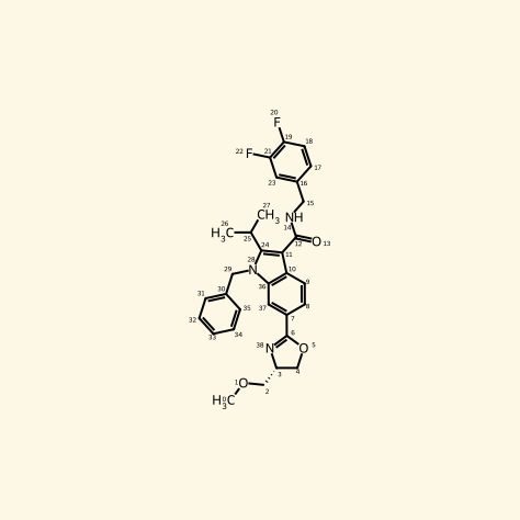 COC[C@H]1COC(c2ccc3c(C(=O)NCc4ccc(F)c(F)c4)c(C(C)C)n(Cc4ccccc4)c3c2)=N1